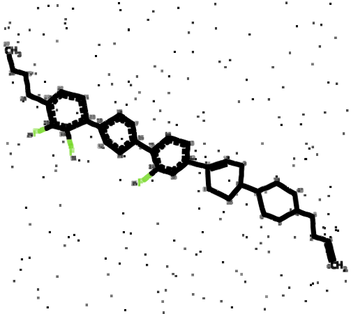 C=CCCC1CCC(C2CC=C(c3ccc(-c4ccc(-c5ccc(CCCC)c(F)c5F)cc4)c(F)c3)CC2)CC1